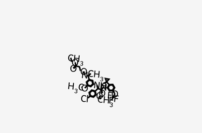 CCOC(=O)CCON=C(C)c1cc(NC(C(=O)N2CC3(CC3)c3ccc(OC(F)(F)F)cc32)c2ccc(Cl)cc2OC)cc(OC)c1